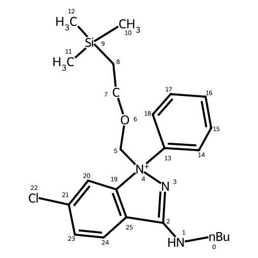 CCCCNC1=N[N+](COCC[Si](C)(C)C)(c2ccccc2)c2cc(Cl)ccc21